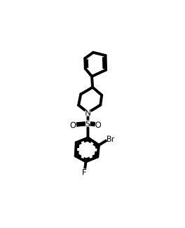 O=S(=O)(c1ccc(F)cc1Br)N1CCC(C2C=CCC=C2)CC1